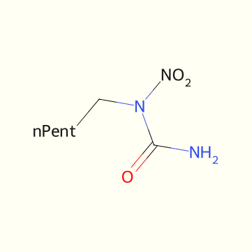 CCCCCCN(C(N)=O)[N+](=O)[O-]